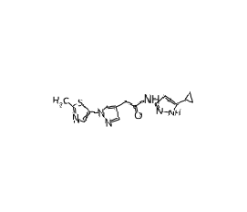 Cc1ncc(-n2cc(CC(=O)Nc3cc(C4CC4)[nH]n3)cn2)s1